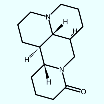 O=C1CCC[C@@H]2[C@H]3CCCN4CCC[C@@H](CN12)[C@H]34